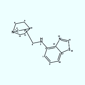 c1cc(NCC2CN3CCC2CC3)c2ncsc2c1